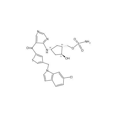 NS(=O)(=O)OC[C@H]1C[C@@H](Nc2ncncc2C(=O)c2cc(Cn3ccc4ccc(Cl)cc43)cs2)C[C@@H]1O